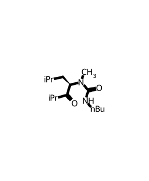 CCCCNC(=O)N(C)[C@H](CC(C)C)C(=O)C(C)C